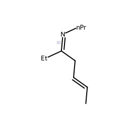 CC=CC/C(CC)=N\CCC